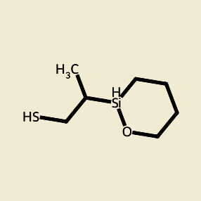 CC(CS)[SiH]1CCCCO1